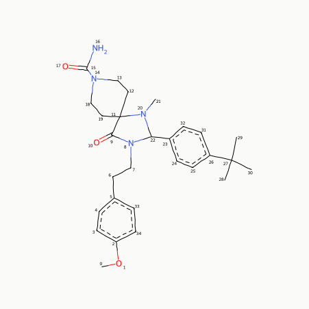 COc1ccc(CCN2C(=O)C3(CCN(C(N)=O)CC3)N(C)C2c2ccc(C(C)(C)C)cc2)cc1